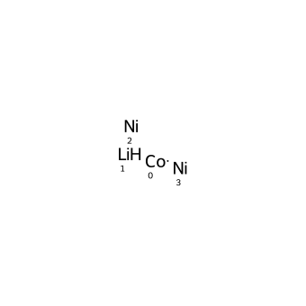 [Co].[LiH].[Ni].[Ni]